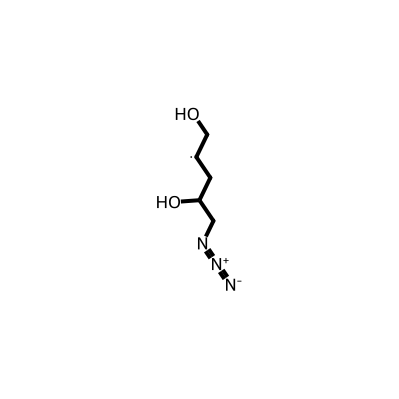 [N-]=[N+]=NCC(O)C[CH]CO